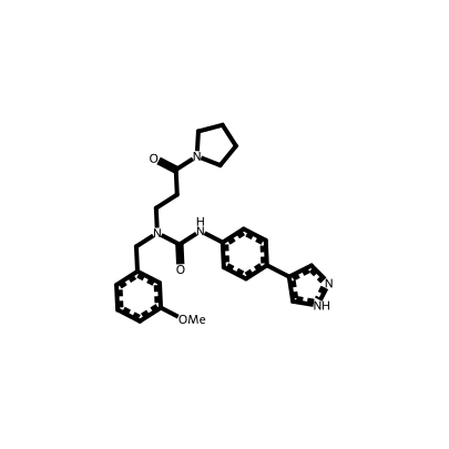 COc1cccc(CN(CCC(=O)N2CCCC2)C(=O)Nc2ccc(-c3cn[nH]c3)cc2)c1